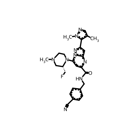 Cc1cnn(C)c1-c1cc2nc(C(=O)NCc3ccc(C#N)cc3)cc(N3CCN(C)C[C@H]3CF)n2n1